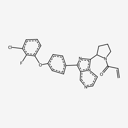 C=CC(=O)N1CCCC1c1nc(-c2ccc(Oc3cccc(Cl)c3F)cc2)c2cnccn12